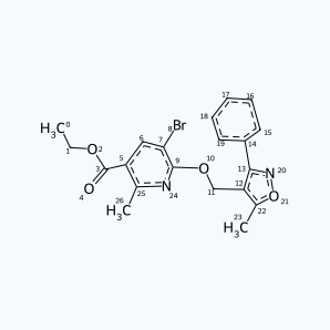 CCOC(=O)c1cc(Br)c(OCc2c(-c3ccccc3)noc2C)nc1C